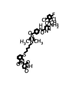 CC(Oc1cc(C(=O)Nc2ccc(C(=O)N3C[C@@H](C)N(CCCCCCSc4cccc5c4CN(C4CCC(=O)NC4=O)C5=O)[C@@H](C)C3)cc2)nnc1N)c1c(Cl)ccc(F)c1Cl